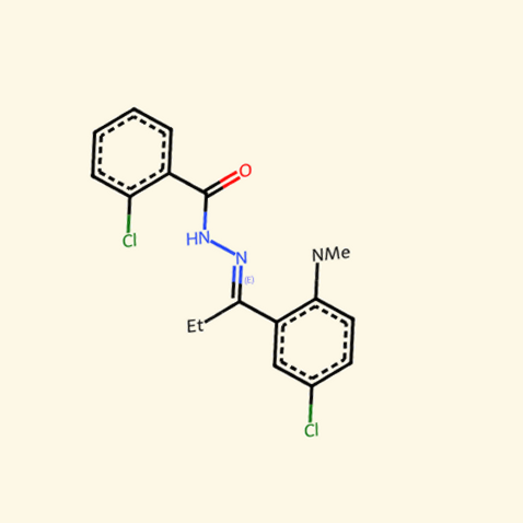 CC/C(=N\NC(=O)c1ccccc1Cl)c1cc(Cl)ccc1NC